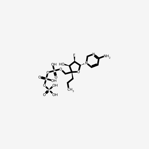 CCC[C@]1(COP(=O)(O)OP(=O)(O)OP(=O)(O)O)O[C@@H](N2C=CC(N)=NC2)[C@H](F)[C@@H]1O